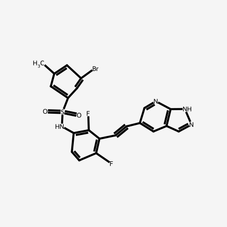 Cc1cc(Br)cc(S(=O)(=O)Nc2ccc(F)c(C#Cc3cnc4[nH]ncc4c3)c2F)c1